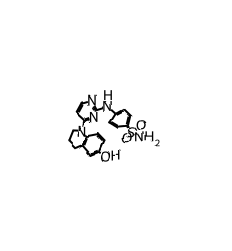 NS(=O)(=O)c1ccc(Nc2nccc(N3CCCc4cc(O)ccc43)n2)cc1